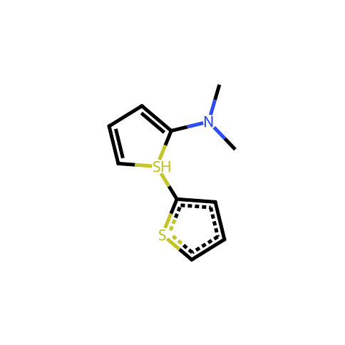 CN(C)C1=CC=C[SH]1c1cccs1